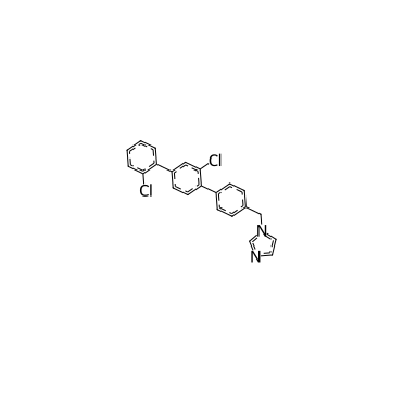 Clc1ccccc1-c1ccc(-c2ccc(Cn3ccnc3)cc2)c(Cl)c1